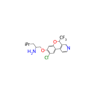 CC(C)CC(N)COc1cc2c(cc1Cl)-c1ccncc1C(C(F)(F)F)O2